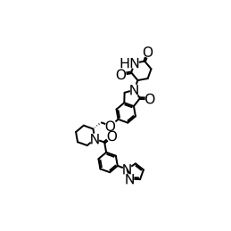 O=C1CCC(N2Cc3cc(OC[C@H]4CCCCN4C(=O)c4cccc(-n5cccn5)c4)ccc3C2=O)C(=O)N1